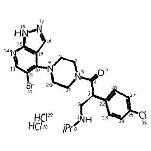 CC(C)NC[C@@H](C(=O)N1CCN(c2c(Br)cnc3[nH]ncc23)CC1)c1ccc(Cl)cc1.Cl.Cl